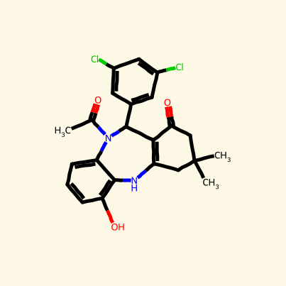 CC(=O)N1c2cccc(O)c2NC2=C(C(=O)CC(C)(C)C2)C1c1cc(Cl)cc(Cl)c1